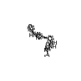 Cn1nc(C2CC2)cc1NC(=O)Nc1cccc(C#Cc2cnc(NCCN3CCOCC3)nc2)c1